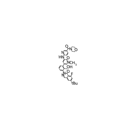 Cn1cc(-c2cccc(-n3ncc4cc(C(C)(C)C)cc(F)c4c3=O)c2CO)cc(Nc2ccc(C(=O)N3CCOCC3)cn2)c1=O